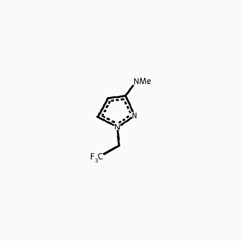 CNc1ccn(CC(F)(F)F)n1